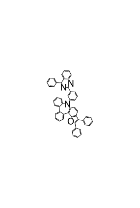 c1ccc(-c2oc3c4c(ccc3c2-c2ccccc2)N(c2cccc(-c3nc(-c5ccccc5)c5ccccc5n3)c2)c2ccccc2-c2ccccc2-4)cc1